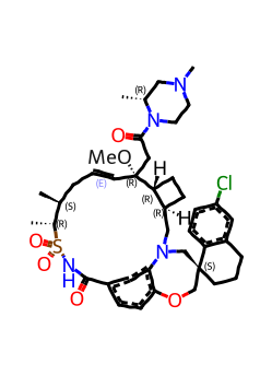 CO[C@@]1(CC(=O)N2CCN(C)C[C@H]2C)/C=C/C[C@H](C)[C@@H](C)S(=O)(=O)NC(=O)c2ccc3c(c2)N(C[C@@H]2CC[C@H]21)C[C@@]1(CCCc2cc(Cl)ccc21)CO3